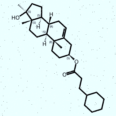 C[C@]12CC[C@H](OC(=O)CCC3CCCCC3)CC1=CC[C@@H]1[C@@H]2CC[C@@]2(C)[C@H]1CC[C@]2(C)O